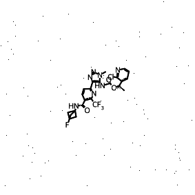 C[C@@H](OC(=O)Nc1c(-c2ccc(C(=O)NC34CC(F)(C3)C4)c(C(F)(F)F)n2)nnn1C)c1cccnc1Cl